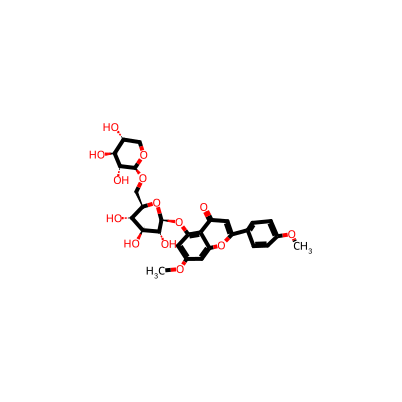 COc1ccc(-c2cc(=O)c3c(O[C@@H]4O[C@H](CO[C@@H]5OC[C@@H](O)[C@H](O)[C@H]5O)[C@@H](O)[C@H](O)[C@H]4O)cc(OC)cc3o2)cc1